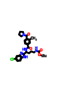 Cc1cc(C(=O)NC(CCCNC(=O)OC(C)(C)C)c2nc3cc(Cl)ccc3[nH]2)ccc1C(=O)N1CCCC1